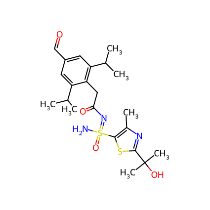 Cc1nc(C(C)(C)O)sc1S(N)(=O)=NC(=O)Cc1c(C(C)C)cc(C=O)cc1C(C)C